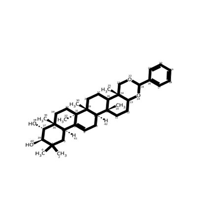 CC1(C)C[C@@H]2C3=CC[C@@H]4[C@@]5(C)CCC6OC(c7ccccc7)OC[C@@]6(C)C5CC[C@@]4(C)[C@]3(C)CC[C@@]2(C)[C@@H](O)[C@@H]1O